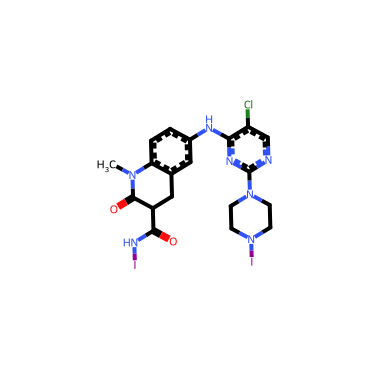 CN1C(=O)C(C(=O)NI)Cc2cc(Nc3nc(N4CCN(I)CC4)ncc3Cl)ccc21